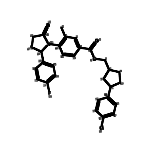 Cc1cc(C(=O)OCC2CCC(c3ccc(Cl)cc3)C2)ccc1N1C(=O)CSC1c1ccc(F)cc1